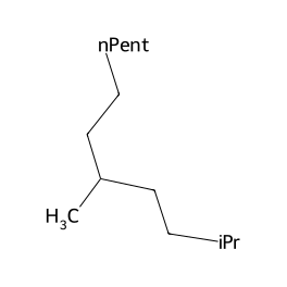 [CH2]CCCCCCC(C)CCC(C)C